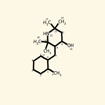 CC1CCCCC1CC1C(O)CC(C)(C)NC1(C)C